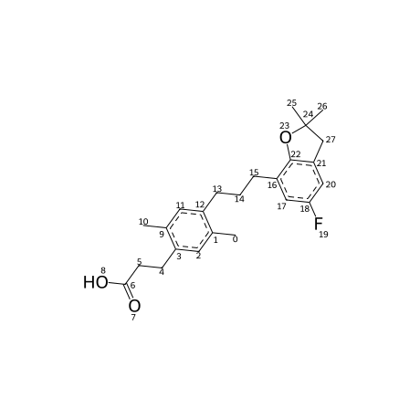 Cc1cc(CCC(=O)O)c(C)cc1CCCc1cc(F)cc2c1OC(C)(C)C2